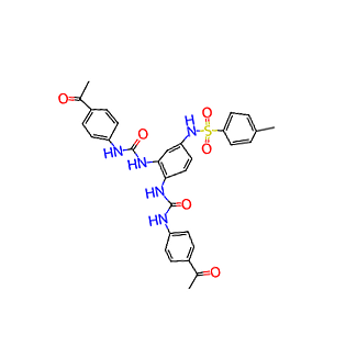 CC(=O)c1ccc(NC(=O)Nc2ccc(NS(=O)(=O)c3ccc(C)cc3)cc2NC(=O)Nc2ccc(C(C)=O)cc2)cc1